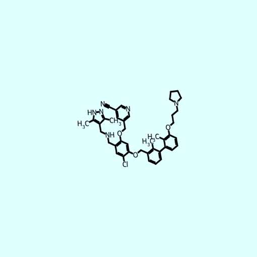 Cc1n[nH]c(C)c1CNCc1cc(Cl)c(OCc2cccc(-c3cccc(OCCCN4CCCC4)c3C)c2C)cc1OCc1cncc(C#N)c1